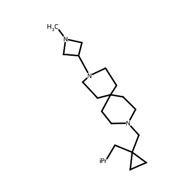 CC(C)CC1(CN2CCC3(CC2)CCN(C2CN(C)C2)CC3)CC1